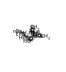 CCCCC(CC)COCC(O)COc1cc(-c2nc(-c3ccc(C)cc3C)nc(-c3ccc(C)cc3C)n2)ccc1O